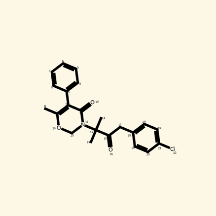 CC1=C(c2ccccc2)C(=O)N(C(C)(C)C(=O)Cc2ccc(Cl)cc2)CO1